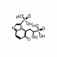 O=P(O)(O)c1cnc2ccc(Cl)c(CC(O)P(=O)(O)O)n12